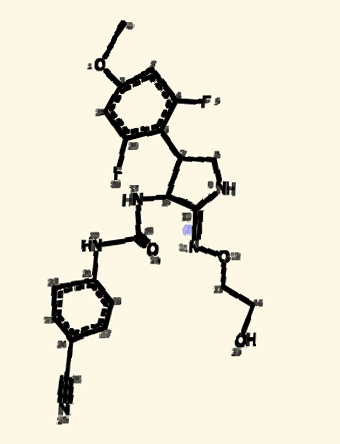 COc1cc(F)c(C2CN/C(=N\OCCO)C2NC(=O)Nc2ccc(C#N)cc2)c(F)c1